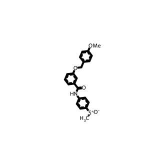 COc1ccc(COc2cccc(C(=O)Nc3ccc([S+](C)[O-])cc3)c2)cc1